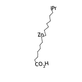 CC(C)CCCCCCCCCCCCCCC(=O)O.[Zn]